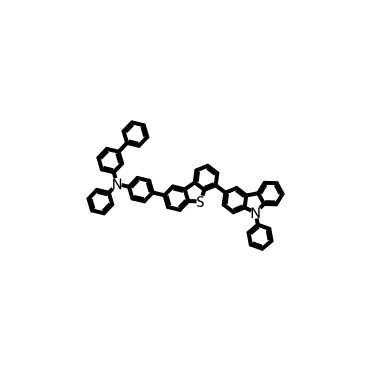 c1ccc(-c2cccc(N(c3ccccc3)c3ccc(-c4ccc5sc6c(-c7ccc8c(c7)c7ccccc7n8-c7ccccc7)cccc6c5c4)cc3)c2)cc1